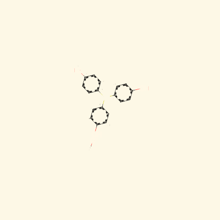 CC(=O)[O-].Oc1ccc([S+](c2ccc(O)cc2)c2ccc(O)cc2)cc1